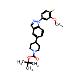 COc1cc(-n2ncc3cc(C4CCN(C(=O)OC(C)(C)C)CC4)ccc32)ccc1F